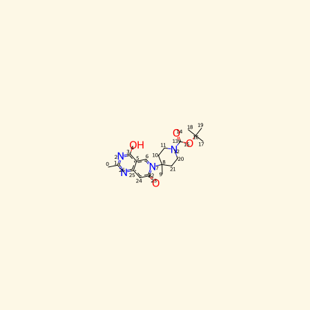 Cc1nc(O)c2cn(C3(C)CCN(C(=O)OC(C)(C)C)CC3)c(=O)cc2n1